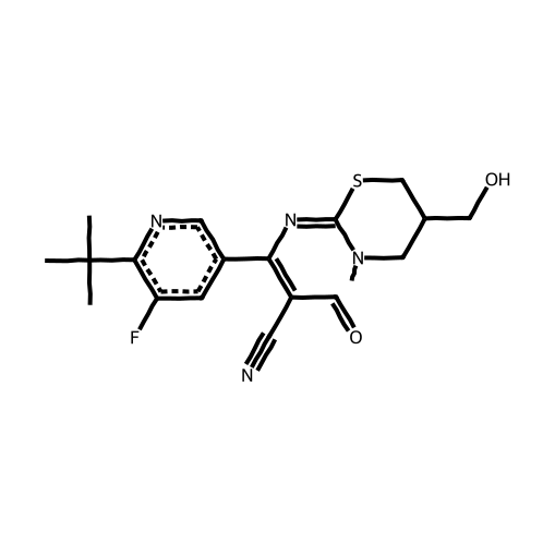 CN1CC(CO)CS/C1=N/C(=C(/C#N)C=O)c1cnc(C(C)(C)C)c(F)c1